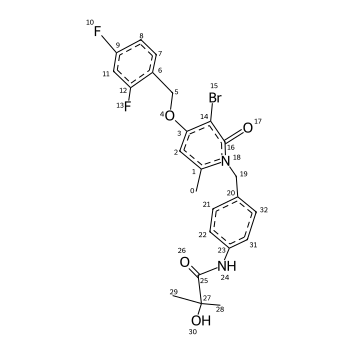 Cc1cc(OCc2ccc(F)cc2F)c(Br)c(=O)n1Cc1ccc(NC(=O)C(C)(C)O)cc1